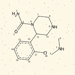 CNC.NC(=O)N1CCNCC1c1ccccc1Cl